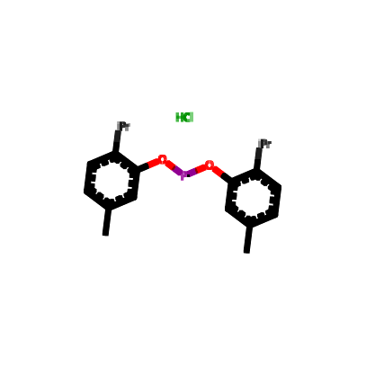 Cc1ccc(C(C)C)c(O[P]Oc2cc(C)ccc2C(C)C)c1.Cl